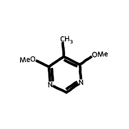 COc1ncnc(OC)c1C